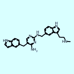 CNCCc1c[nH]c2ccc(CNc3ncc(Cc4ccc5[nH]ccc5c4)c(N)n3)cc12